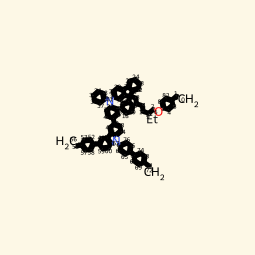 C=Cc1ccc(OCC(CC)CCCCC2(c3ccccc3)c3ccccc3-c3ccc(N(c4ccccc4)c4ccc(-c5ccc6c(c5)c5cc(-c7ccc(C=C)cc7)ccc5n6-c5ccc(-c6ccc(C=C)cc6)cc5)cc4)cc32)cc1